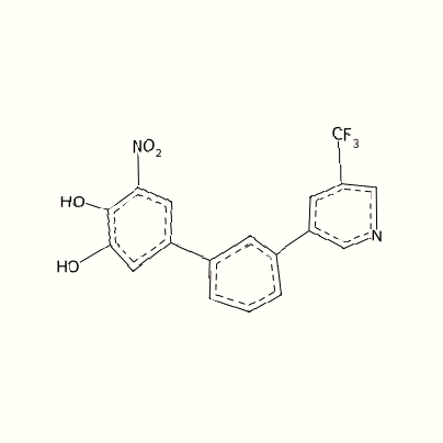 O=[N+]([O-])c1cc(-c2cccc(-c3cncc(C(F)(F)F)c3)c2)cc(O)c1O